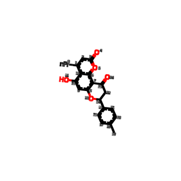 CCCc1cc(=O)oc2c3c(cc(O)c12)OC(c1ccc(C)cc1)CC3=O